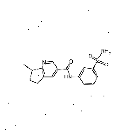 CC1CCc2cc(C(=O)Nc3cccc(S(N)(=O)=O)c3)cnc21